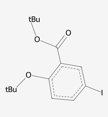 CC(C)(C)OC(=O)c1cc(I)ccc1OC(C)(C)C